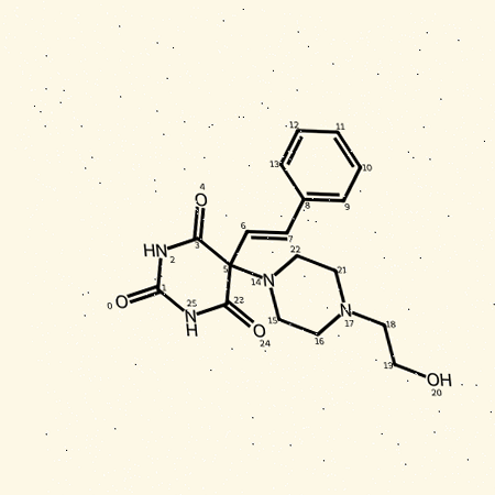 O=C1NC(=O)C(C=Cc2ccccc2)(N2CCN(CCO)CC2)C(=O)N1